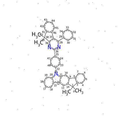 CC1(C)c2ccccc2-c2cc3c(cc21)c1ccccc1n3-c1ccc(-c2nc(-c3ccccc3)c3c(n2)C(C)(C)c2ccccc2-3)cc1